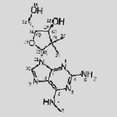 CNc1nc(N)nc2c1ncn2[C@@H]1O[C@H](CO)[C@@H](O)C1(C)C